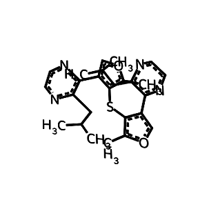 Cc1occ(-c2nccnc2CC(C)C)c1Sc1c(-c2nccnc2CC(C)C)coc1C